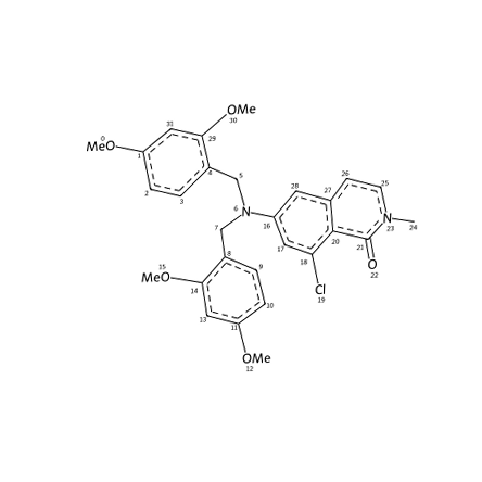 COc1ccc(CN(Cc2ccc(OC)cc2OC)c2cc(Cl)c3c(=O)n(C)ccc3c2)c(OC)c1